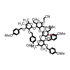 COc1ccc(COC2C(OCc3ccc(OC)cc3)[C@H](C)C(C)O[C@H]2OC2C(C)[C@@H](OC(C)=O)C(COC(C)=O)O[C@H]2OC2C(NC(C)=O)[C@H](SCC#N)OC(COC(C)=O)[C@H]2O[C@@H]2OC(C)[C@@H](C)C(OCc3ccc(OC)cc3)[C@@H]2OCc2ccc(OC)cc2)cc1